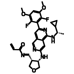 C=CC(=O)/N=C/[C@H]1COC[C@H]1Nc1cc2c(N[C@@H](C)C3CC3)nc(-c3c(F)c(OC)cc(OC)c3F)cc2cn1